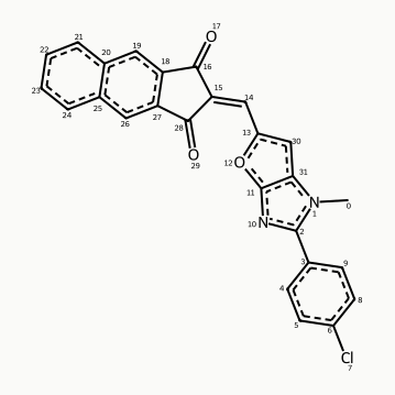 Cn1c(-c2ccc(Cl)cc2)nc2oc(C=C3C(=O)c4cc5ccccc5cc4C3=O)cc21